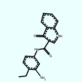 CCc1ccc(NC(=O)c2c[nH]c3ccccc3c2=O)cc1N